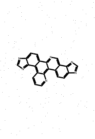 C1=Nc2ccc3c(cnc4c5ccc6c(c5c5cccnc5c34)=NC=N6)c2=N1